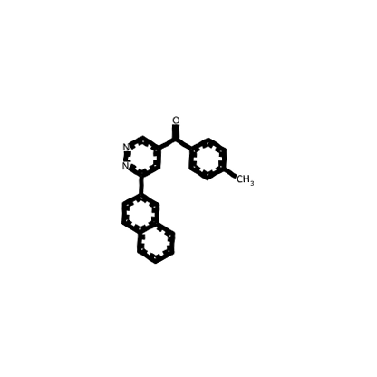 Cc1ccc(C(=O)c2cnnc(-c3ccc4ccccc4c3)c2)cc1